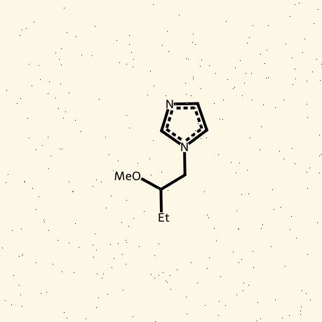 CCC(Cn1ccnc1)OC